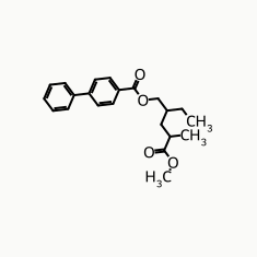 CCC(COC(=O)c1ccc(-c2ccccc2)cc1)CC(C)C(=O)OC